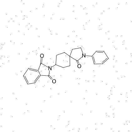 O=C1c2ccccc2C(=O)N1C1CCC2(CC1)CCN(c1ccccc1)C2=O